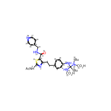 CC(=O)Nc1nc(CCc2ccc(NC(NC(=O)O)(N(C(=O)O)C(C)(C)C)C(C)(C)C)cc2)c(C(=O)NCc2ccncc2)s1